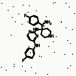 N[C@H](c1ccc(F)cc1)C1(Nc2nccc(Nc3ccc(F)cc3)n2)CCNCC1